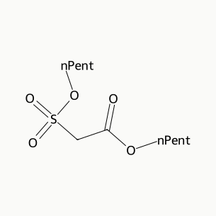 CCCCCOC(=O)CS(=O)(=O)OCCCCC